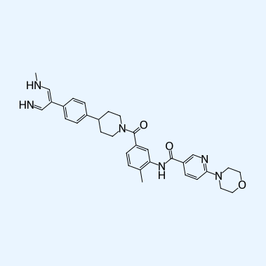 CN/C=C(\C=N)c1ccc(C2CCN(C(=O)c3ccc(C)c(NC(=O)c4ccc(N5CCOCC5)nc4)c3)CC2)cc1